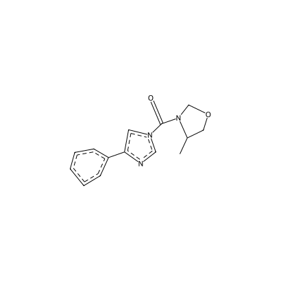 CC1COCN1C(=O)n1cnc(-c2ccccc2)c1